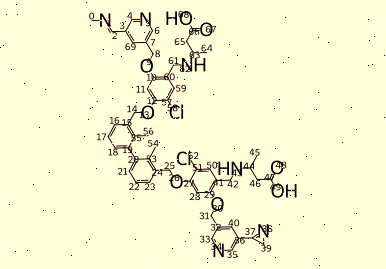 C/N=C/c1cncc(COc2cc(OCc3cccc(-c4cccc(COc5cc(OCc6cncc(C7=NC7)c6)c(CNC(C)CC(=O)O)cc5Cl)c4C)c3C)c(Cl)cc2CNC(C)CC(=O)O)c1